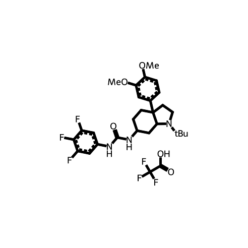 COc1ccc(C23CCC(NC(=O)Nc4cc(F)c(F)c(F)c4)CC2N(C(C)(C)C)CC3)cc1OC.O=C(O)C(F)(F)F